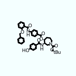 CC(C)(C)OC(=O)N1CCC[C@@H](OC(=O)c2ccc(NC(=O)c3ccccc3OCc3ccccc3)cc2)[C@H](NC(=O)c2ccc(O)cc2)C1